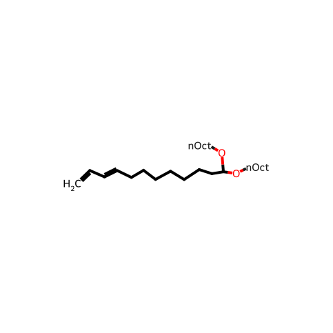 C=CC=CCCCCCCCC(OCCCCCCCC)OCCCCCCCC